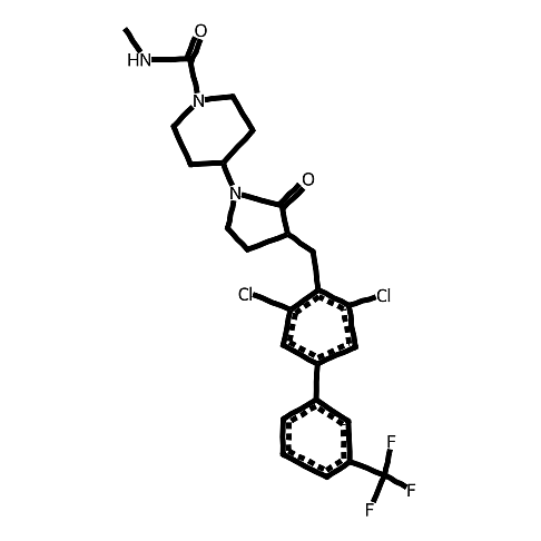 CNC(=O)N1CCC(N2CCC(Cc3c(Cl)cc(-c4cccc(C(F)(F)F)c4)cc3Cl)C2=O)CC1